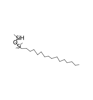 CCCCCCCCCCCCCCCC[Si](C)(C)O[SiH](C)C